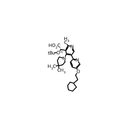 Cc1ncc(-c2ccc(OCCC3CCCCC3)cn2)c(N2CCC(C)(C)CC2)c1[C@H](OC(C)(C)C)C(=O)O